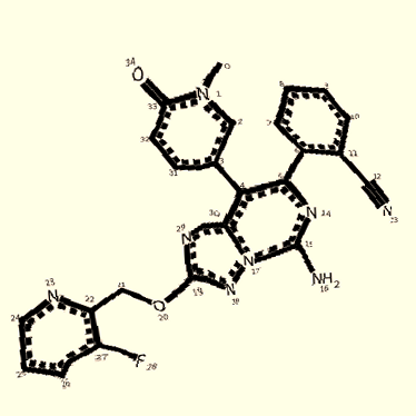 Cn1cc(-c2c(-c3ccccc3C#N)nc(N)n3nc(OCc4ncccc4F)nc23)ccc1=O